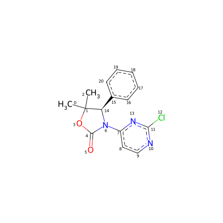 CC1(C)OC(=O)N(c2ccnc(Cl)n2)[C@@H]1c1ccccc1